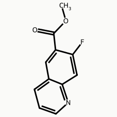 COC(=O)c1cc2cccnc2cc1F